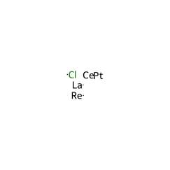 [Ce].[Cl].[La].[Pt].[Re]